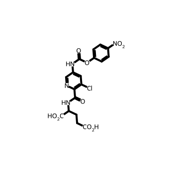 O=C(O)CCC(NC(=O)c1ncc(NC(=O)Oc2ccc([N+](=O)[O-])cc2)cc1Cl)C(=O)O